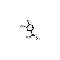 Cc1ccc(/C(N)=N/O)cc1N=O